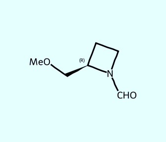 COC[C@H]1CCN1C=O